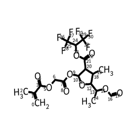 C=C(C)C(=O)OCC(=O)OC1OC(C(C)OC=O)C(C)C1C(=O)OC(C(F)(F)F)C(F)(F)F